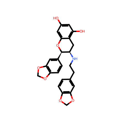 Oc1cc(O)c2c(c1)O[C@H](c1ccc3c(c1)OCO3)[C@H](NCCc1ccc3c(c1)OCO3)C2